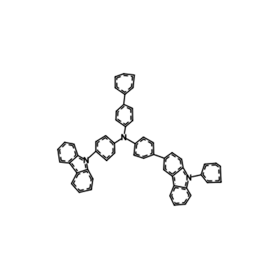 c1ccc(-c2ccc(N(c3ccc(-c4ccc5c(c4)c4ccccc4n5-c4ccccc4)cc3)c3ccc(-n4c5ccccc5c5ccccc54)cc3)cc2)cc1